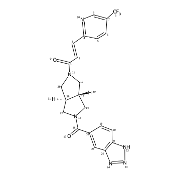 O=C(C=Cc1ccc(C(F)(F)F)cn1)N1C[C@@H]2CN(C(=O)c3ccc4[nH]nnc4c3)C[C@H]2C1